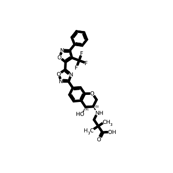 CC(C)(CN[C@H]1COc2cc(-c3noc(-c4onc(-c5ccccc5)c4C(F)(F)F)n3)ccc2[C@H]1O)C(=O)O